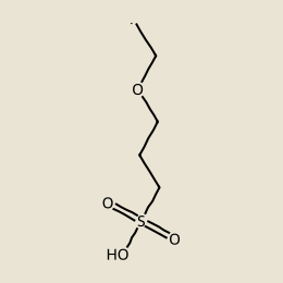 [CH2]COCCCS(=O)(=O)O